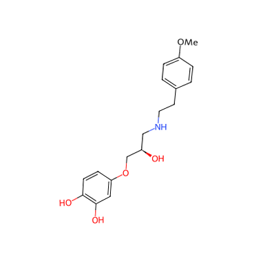 COc1ccc(CCNC[C@@H](O)COc2ccc(O)c(O)c2)cc1